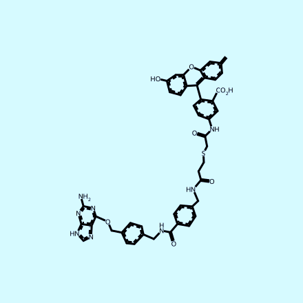 C=c1ccc2c(c1)Oc1cc(O)ccc1C=2c1ccc(NC(=O)CSCCC(=O)NCc2ccc(C(=O)NCc3ccc(COc4nc(N)nc5[nH]cnc45)cc3)cc2)cc1C(=O)O